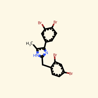 Cc1[nH]c(Cc2ccc(Br)cc2Br)nc1-c1ccc(Br)c(Br)c1